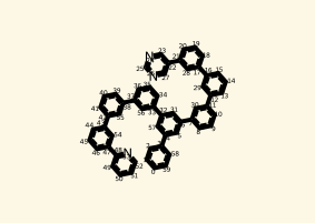 c1ccc(-c2cc(-c3cccc(-c4cccc(-c5cccc(-c6cncnc6)c5)c4)c3)cc(-c3cccc(-c4cccc(-c5cccc(-c6ccccn6)c5)c4)c3)c2)cc1